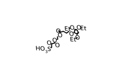 CCOC1=CC(OCC)=C(OCC)C1OCCCC(=O)OCCOC(=O)C(=O)CS(=O)(=O)O